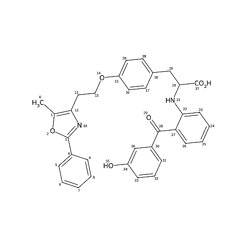 Cc1oc(-c2ccccc2)nc1CCOc1ccc(CC(Nc2ccccc2C(=O)c2cccc(O)c2)C(=O)O)cc1